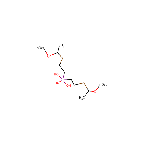 CCCCCCCCOC(C)SCCP(O)(O)(O)CCSC(C)OCCCCCCCC